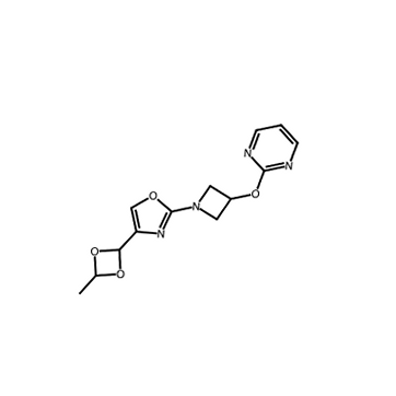 CC1OC(c2coc(N3CC(Oc4ncccn4)C3)n2)O1